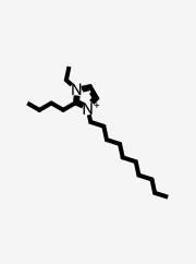 CCCCCCCCCC[n+]1ccn(CC)c1CCCC